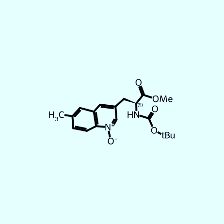 COC(=O)[C@H](Cc1cc2cc(C)ccc2[n+]([O-])c1)NC(=O)OC(C)(C)C